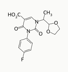 CC(C1OCCO1)n1cc(C(=O)O)c(=O)n(-c2ccc(F)cc2)c1=O